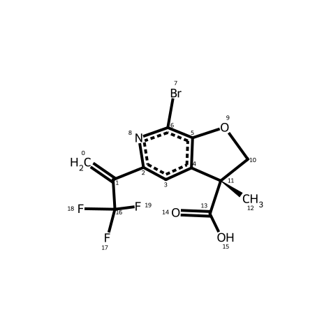 C=C(c1cc2c(c(Br)n1)OC[C@]2(C)C(=O)O)C(F)(F)F